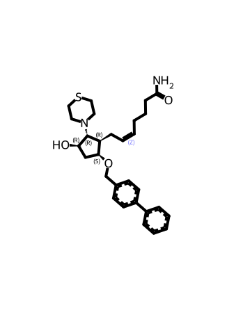 NC(=O)CCC/C=C\C[C@@H]1[C@@H](N2CCSCC2)[C@H](O)C[C@@H]1OCc1ccc(-c2ccccc2)cc1